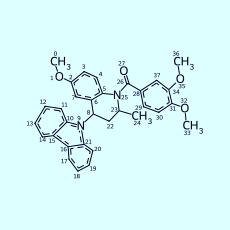 COc1ccc2c(c1)C(n1c3ccccc3c3ccccc31)CC(C)N2C(=O)c1ccc(OC)c(OC)c1